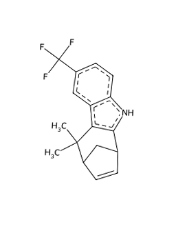 CC1(C)c2c([nH]c3ccc(C(F)(F)F)cc23)C2C=CC1C2